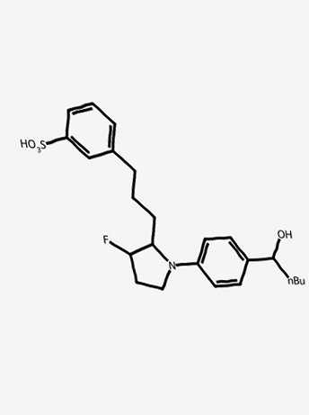 CCCCC(O)c1ccc(N2CCC(F)C2CCCc2cccc(S(=O)(=O)O)c2)cc1